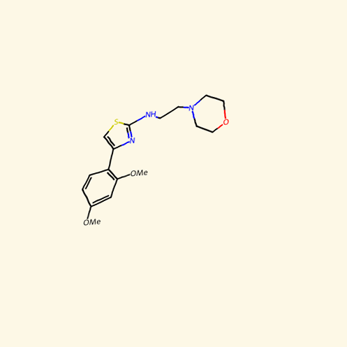 COc1ccc(-c2csc(NCCN3CCOCC3)n2)c(OC)c1